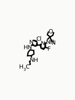 CCCNC1CCC(Nc2cc(-c3ccc(F)c(NCC4(C#N)CCOCC4)n3)c(Cl)cn2)CC1